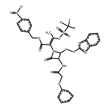 CC(OS(=O)(=O)C(F)(F)F)=C(C(=O)OCc1ccc([N+](=O)[O-])cc1)N1C(=O)C(NC(=O)COc2ccccc2)C1SSc1nc2ccccc2s1